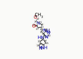 COCCn1ccc(-c2cc3c(Nc4ccc5[nH]ncc5c4)ncnc3[nH]2)cc1=O